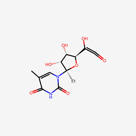 CC[C@@]1(n2cc(C)c(=O)[nH]c2=O)O[C@H](C(O)=C=O)[C@@H](O)[C@H]1O